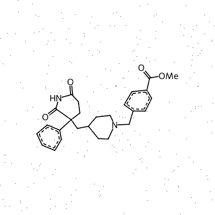 COC(=O)c1ccc(CN2CCC(CC3(c4ccccc4)CCC(=O)NC3=O)CC2)cc1